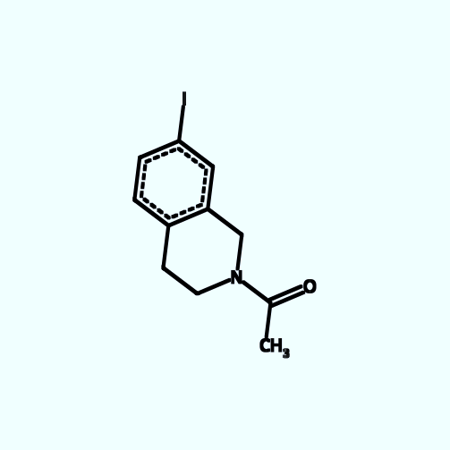 CC(=O)N1CCc2ccc(I)cc2C1